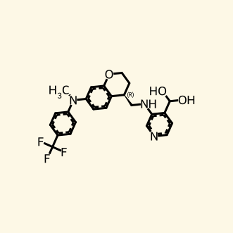 CN(c1ccc(C(F)(F)F)cc1)c1ccc2c(c1)OCC[C@H]2CNc1cnccc1C(O)O